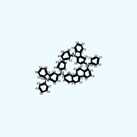 c1ccc(N(c2ccc3ccc4c5cccc(N(c6ccccc6)c6ccc7c(c6)c6ccccc6n7-c6ccccc6)c5ccc4c3c2)c2ccc3c(c2)c2ccccc2n3-c2ccccc2)cc1